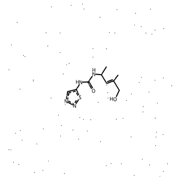 C/C(=C\C(C)NC(=O)Nc1cnns1)CO